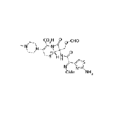 CON=C(C(=O)NC1(COC=O)C(=O)N2C(C(=O)O)=C(N3CCN(C)CC3)CS[C@H]21)c1csc(N)n1